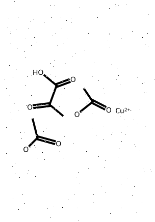 CC(=O)C(=O)O.CC(=O)[O-].CC(=O)[O-].[Cu+2]